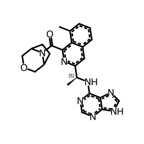 Cc1cccc2cc([C@H](C)Nc3ncnc4[nH]cnc34)nc(C(=O)N3C4CCC3COC4)c12